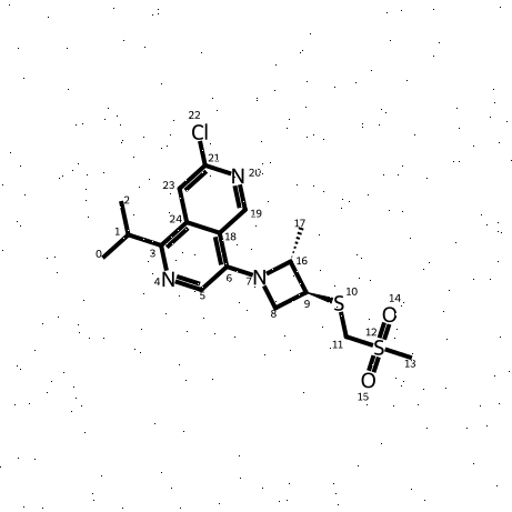 CC(C)c1ncc(N2C[C@H](SCS(C)(=O)=O)[C@H]2C)c2cnc(Cl)cc12